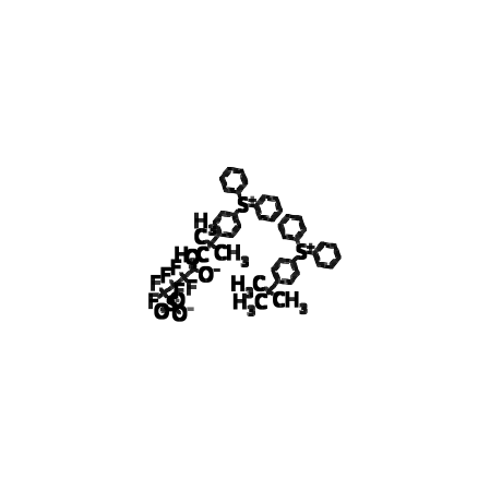 CC(C)(C)c1ccc([S+](c2ccccc2)c2ccccc2)cc1.CC(C)(C)c1ccc([S+](c2ccccc2)c2ccccc2)cc1.O=C([O-])C(F)(F)C(F)(F)C(F)(F)S(=O)(=O)[O-]